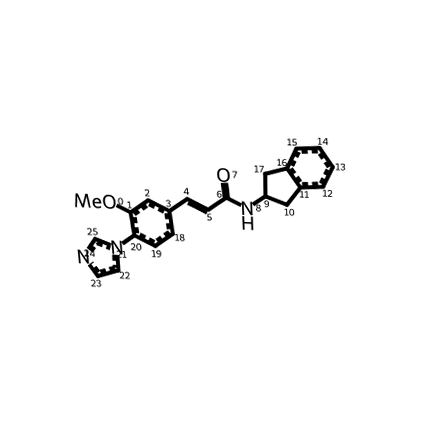 COc1cc(/C=C/C(=O)NC2Cc3ccccc3C2)ccc1-n1ccnc1